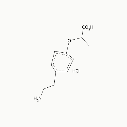 CC(Oc1ccc(CCN)cc1)C(=O)O.Cl